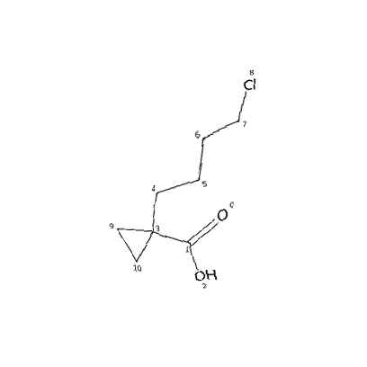 O=C(O)C1(CCCCCl)CC1